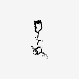 B[C@@H]1O[C@@]2(CC(=O)OCc3ccccc3)[C@H](C)OC1[C@H]2C